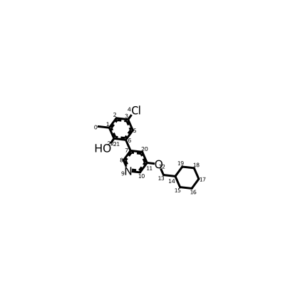 Cc1cc(Cl)cc(-c2cncc(OCC3CCCCC3)c2)c1O